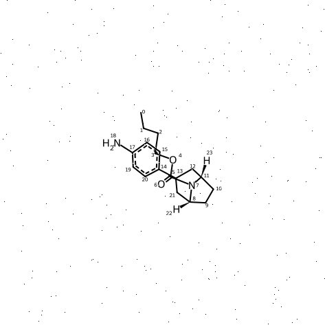 CCCCOC(=O)N1[C@@H]2CC[C@H]1CC(c1ccc(N)cc1)C2